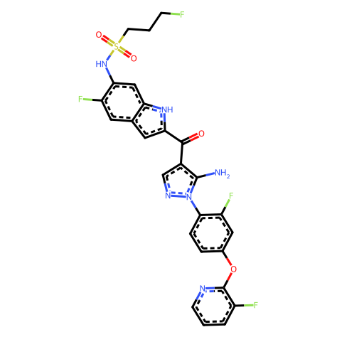 Nc1c(C(=O)c2cc3cc(F)c(NS(=O)(=O)CCCF)cc3[nH]2)cnn1-c1ccc(Oc2ncccc2F)cc1F